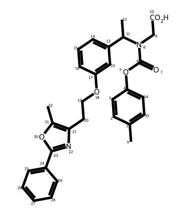 Cc1ccc(OC(=O)N(CC(=O)O)C(C)c2cccc(OCCc3nc(-c4ccccc4)oc3C)c2)cc1